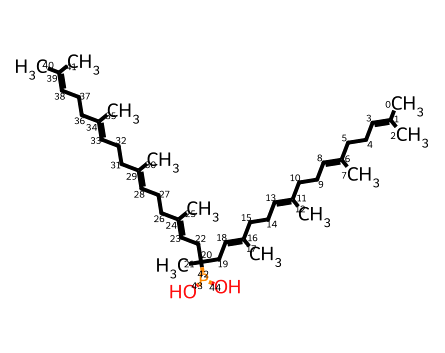 CC(C)=CCC/C(C)=C/CC/C(C)=C/CC/C(C)=C/CC(C)(C/C=C(\C)CC/C=C(\C)CC/C=C(\C)CCC=C(C)C)P(O)O